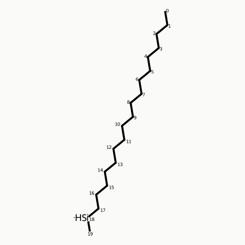 CCCCCCCCCCCCCCCCCC[SiH]C